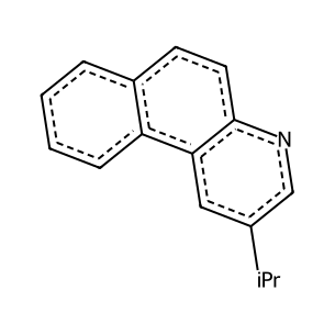 CC(C)c1cnc2ccc3ccccc3c2c1